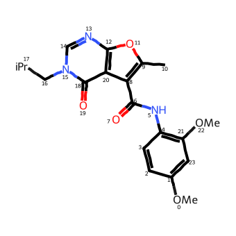 COc1ccc(NC(=O)c2c(C)oc3ncn(CC(C)C)c(=O)c23)c(OC)c1